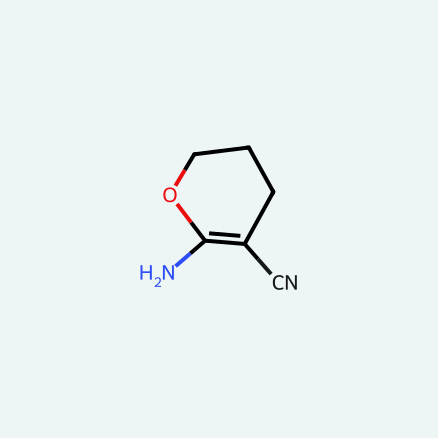 N#CC1=C(N)OCCC1